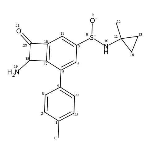 Cc1ccc(-c2cc([S+]([O-])NC3(C)CC3)cc3c2C(N)C3=O)cc1